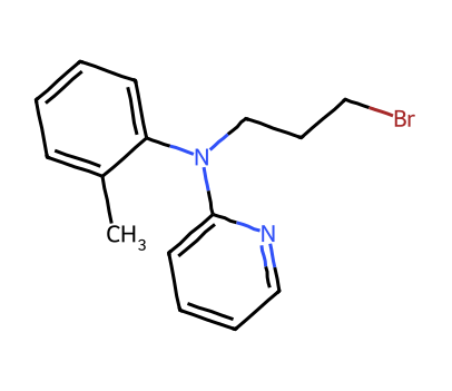 Cc1ccccc1N(CCCBr)c1ccccn1